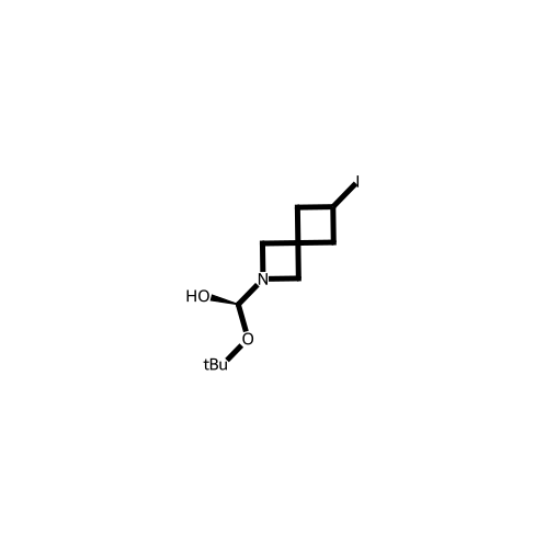 CC(C)(C)O[C@@H](O)N1CC2(CC(I)C2)C1